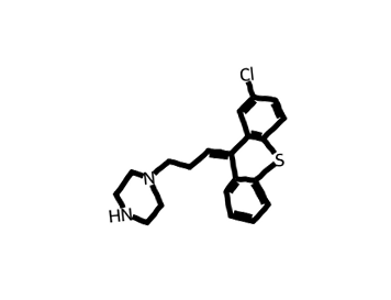 Clc1ccc2c(c1)/C(=C/CCN1CCNCC1)c1ccccc1S2